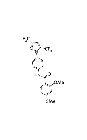 COc1cc(SC)ccc1C(=O)Nc1ccc(-n2nc(C(F)(F)F)cc2C(F)(F)F)cc1